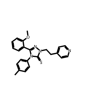 COc1ccccc1-c1nn(CCc2ccncc2)c(=S)n1-c1ccc(C)cc1